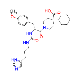 COc1ccc(C[C@@H](NC(=O)NCCCc2cnc[nH]2)C(=O)N2CCC(C(=O)O)(C3CCCCC3)CC2)cc1